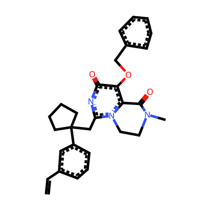 C=Cc1cccc(C2(Cc3nc(=O)c(OCc4ccccc4)c4n3CCN(C)C4=O)CCCC2)c1